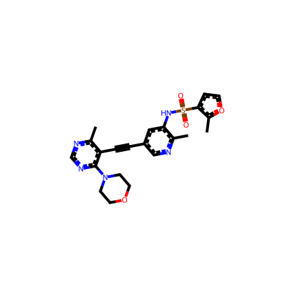 Cc1ncc(C#Cc2c(C)ncnc2N2CCOCC2)cc1NS(=O)(=O)c1ccoc1C